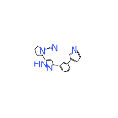 N#CN1CCCC1c1cc(-c2cccc(-c3cccnc3)c2)n[nH]1